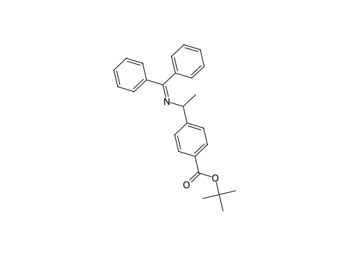 CC(N=C(c1ccccc1)c1ccccc1)c1ccc(C(=O)OC(C)(C)C)cc1